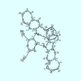 N#Cc1cc(C#N)c(-n2c3ccccc3c3cc4ccccc4cc32)c(-n2c3ccccc3c3cc4ccccc4cc32)c1